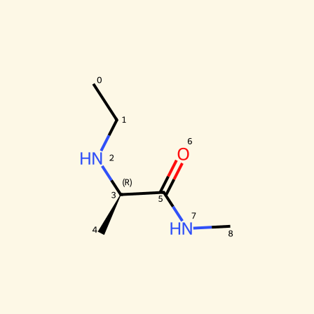 CCN[C@H](C)C(=O)NC